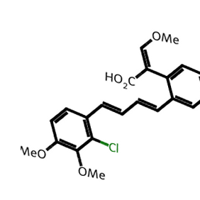 CO/C=C(/C(=O)O)c1ccccc1/C=C/C=C/c1ccc(OC)c(OC)c1Cl